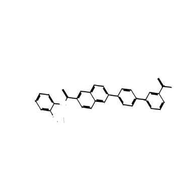 C=C(C)c1cccc(-c2ccc(-c3ccc4cc(C(=C)Oc5ccccc5N)ccc4c3)cc2)c1